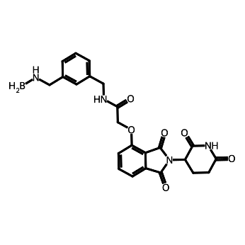 BNCc1cccc(CNC(=O)COc2cccc3c2C(=O)N(C2CCC(=O)NC2=O)C3=O)c1